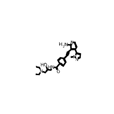 CCN(CC)CC(O)CNC(=O)c1ccc(C#Cc2c(-c3ccnn3C)ccnc2N)cc1